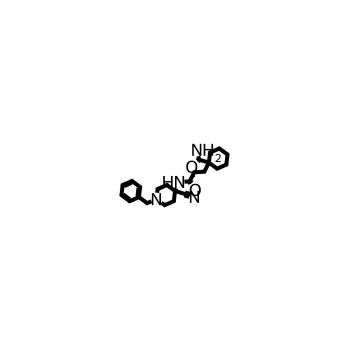 N#CC1(NC(=O)[CH]CC2(C(N)=O)CCCCC2)CCN(Cc2ccccc2)CC1